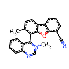 Cc1ccc2c(oc3c(C#N)cccc32)c1-c1c2ccccc2nc[n+]1C